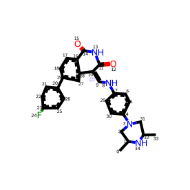 CC1CN(c2ccc(N/C=C3\C(=O)NC(=O)c4ccc(-c5ccc(F)cc5)cc43)cc2)CC(C)N1